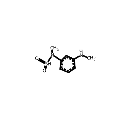 [CH2]Nc1cccc(N(C)[SH](=O)=O)c1